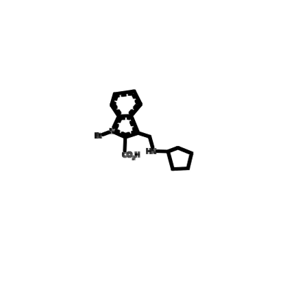 CCn1c(C(=O)O)c(CNC2CCCC2)c2ccccc21